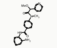 COC(C(=O)N(C)c1ccc(C(=O)Nc2ccccc2N)cc1)c1cccnc1